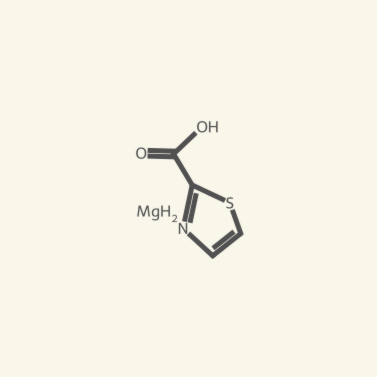 O=C(O)c1nccs1.[MgH2]